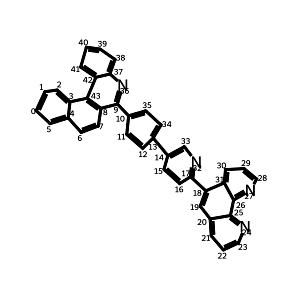 c1ccc2c(c1)ccc1c(-c3ccc(-c4ccc(-c5cc6cccnc6c6ncccc56)nc4)cc3)nc3ccccc3c12